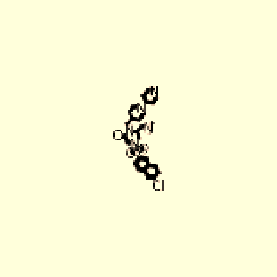 CN(C)CC1CN(S(=O)(=O)c2ccc3cc(Cl)ccc3c2)CC(=O)N1CC1CCN(c2ccncc2)CC1